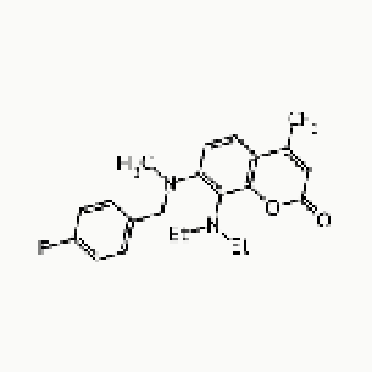 CCN(CC)c1c(N(C)Cc2ccc(F)cc2)ccc2c(C(F)(F)F)cc(=O)oc12